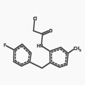 Cc1ccc(Cc2ccc(F)cc2)c(NC(=O)CCl)c1